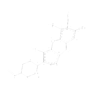 C=CC1CCC(c2ccc3c(c2F)Oc2c(cc(CCC)c(F)c2F)C3)OC1